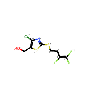 OCc1sc(SCCC(F)=C(F)F)nc1Cl